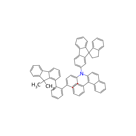 CC1(C)c2ccccc2-c2cccc(-c3ccccc3-c3ccc(N(c4ccc5c(c4)C4(CCc6ccccc64)c4ccccc4-5)c4ccc5ccccc5c4-c4ccccc4)cc3)c21